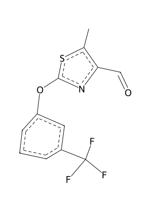 Cc1sc(Oc2cccc(C(F)(F)F)c2)nc1C=O